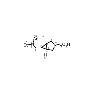 CCN(C[C@@H]1[C@H]2CN(C(=O)O)C[C@@H]12)C(C)=O